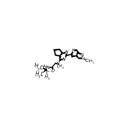 CN(CC(=O)NC(C)(C)C)c1nc(-c2cc3cn(C)nc3cn2)nc2c1CCC2